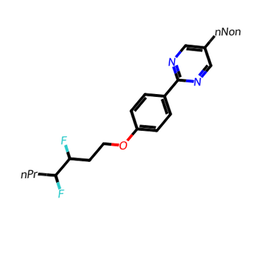 CCCCCCCCCc1cnc(-c2ccc(OCCC(F)C(F)CCC)cc2)nc1